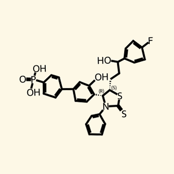 O=P(O)(O)c1ccc(-c2ccc([C@@H]3[C@H](CCC(O)c4ccc(F)cc4)SC(=S)N3c3ccccc3)c(O)c2)cc1